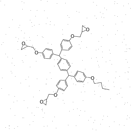 CCCCOc1ccc(C(c2ccc(OCC3CO3)cc2)c2ccc(C(c3ccc(OCC4CO4)cc3)c3ccc(OCC4CO4)cc3)cc2)cc1